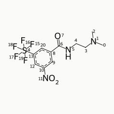 CN(C)CCNC(=O)c1cc([N+](=O)[O-])cc(S(F)(F)(F)(F)F)c1